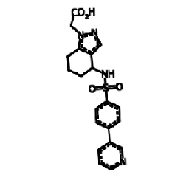 O=C(O)Cn1ncc2c1CCCC2NS(=O)(=O)c1ccc(-c2cccnc2)cc1